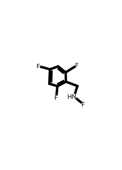 FNCc1c(F)cc(F)cc1F